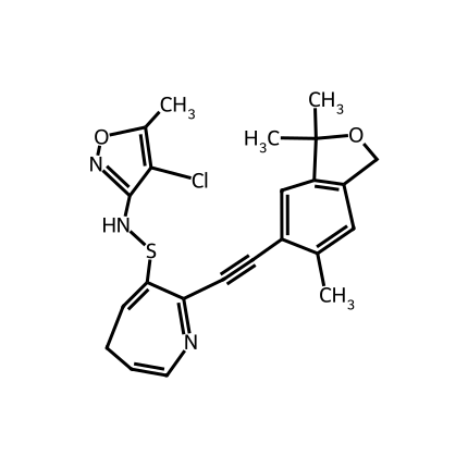 Cc1cc2c(cc1C#CC1=NC=CCC=C1SNc1noc(C)c1Cl)C(C)(C)OC2